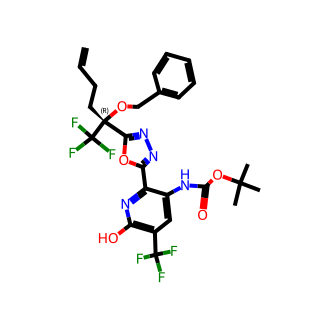 C=CCC[C@@](OCc1ccccc1)(c1nnc(-c2nc(O)c(C(F)(F)F)cc2NC(=O)OC(C)(C)C)o1)C(F)(F)F